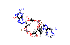 Nc1nc2c(ncn2[C@@H]2O[C@@H]3COP(=O)(S)O[C@H]4C(n5cnc6c(N)ncnc65)CO[C@]4(CO)COP(=O)(S)O[C@H]2C3)c(=O)[nH]1